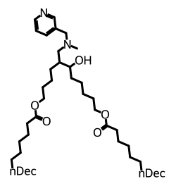 CCCCCCCCCCCCCCCC(=O)OCCCCCC(O)C(CCCCOC(=O)CCCCCCCCCCCCCCC)CN(C)Cc1cccnc1